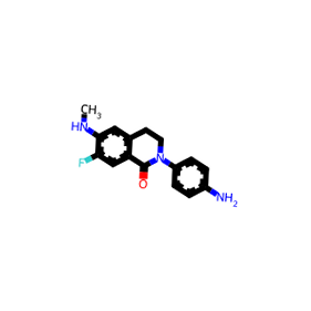 CNc1cc2c(cc1F)C(=O)N(c1ccc(N)cc1)CC2